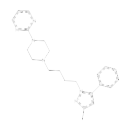 Cc1cc(-c2ccccc2)n(CCCCN2CCN(c3ncccn3)CC2)n1